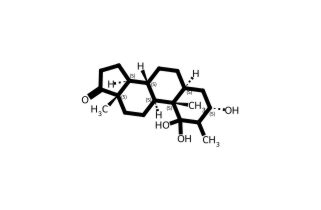 CC1[C@@H](O)C[C@@H]2CC[C@@H]3[C@H](CC[C@]4(C)C(=O)CC[C@@H]34)[C@@]2(C)C1(O)O